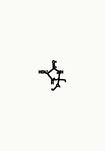 COC1(C)NC(=O)C(O)N1